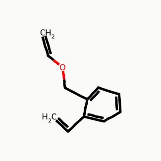 C=COCc1ccccc1C=C